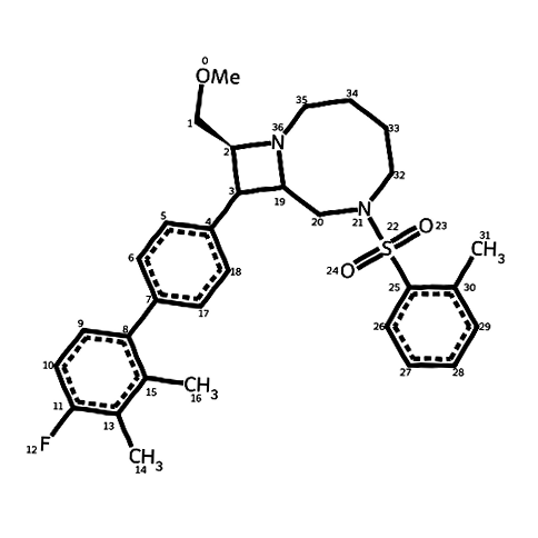 COC[C@@H]1C(c2ccc(-c3ccc(F)c(C)c3C)cc2)C2CN(S(=O)(=O)c3ccccc3C)CCCCN21